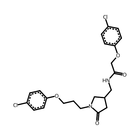 O=C(COc1ccc(Cl)cc1)NCC1CC(=O)N(CCCOc2ccc(Cl)cc2)C1